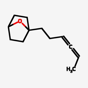 CC=C=CCCC12CCC(CC1)O2